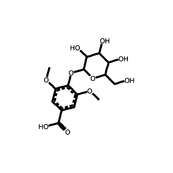 COc1cc(C(=O)O)cc(OC)c1OC1OC(CO)C(O)C(O)C1O